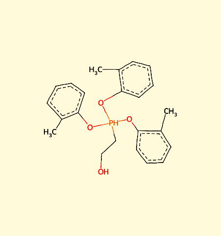 Cc1ccccc1O[PH](CCO)(Oc1ccccc1C)Oc1ccccc1C